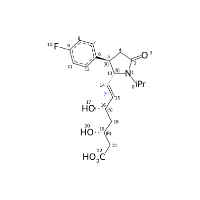 CC(C)N1C(=O)C[C@H](c2ccc(F)cc2)[C@H]1/C=C/[C@@H](O)C[C@@H](O)CC(=O)O